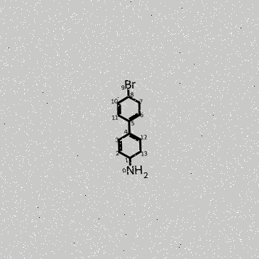 NC1C=CC(C2=CCC(Br)C=C2)=CC1